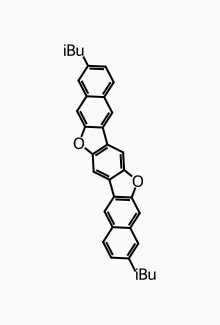 CCC(C)c1ccc2cc3c(cc2c1)oc1cc2c(cc13)oc1cc3cc(C(C)CC)ccc3cc12